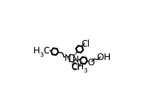 Cc1ccc(CCN2C[C@H](C)N(c3ccc(OCCO)cc3Cl)[C@H](c3ccc(Cl)cc3)C2)cc1